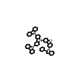 c1ccc(-c2cc3ccccc3n2-c2ccc3oc4ccc(-n5c6ccc(-n7c8ccccc8c8ccccc87)cc6c6cc(-n7c8ccccc8c8ccccc87)ccc65)cc4c3c2)cc1